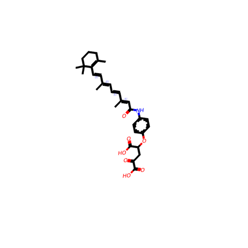 CC1=C(/C=C/C(C)=C/C=C/C(C)=C/C(=O)Nc2ccc(OC(CC(=O)C(=O)O)C(=O)O)cc2)C(C)(C)CCC1